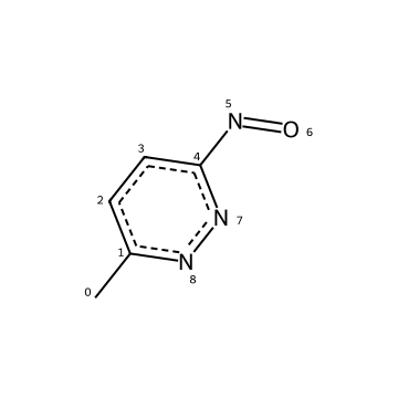 Cc1ccc(N=O)nn1